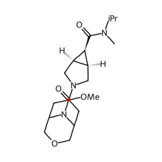 COC(=O)N1C2COCC1CC(N1C[C@@H]3[C@H](C1)[C@@H]3C(=O)N(C)C(C)C)C2